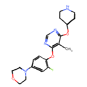 Cc1c(Oc2ccc(N3CCOCC3)cc2F)ncnc1OC1CCNCC1